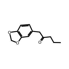 CCCC(=O)Cc1ccc2c(c1)OCO2